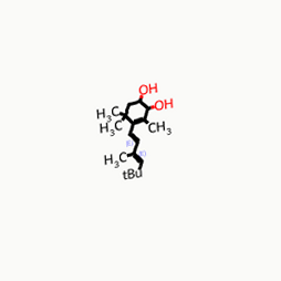 CC1=C(/C=C/C(C)=C/C(C)(C)C)C(C)(C)CC(O)C1O